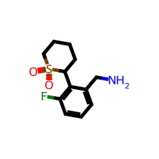 NCc1cccc(F)c1C1CCCCS1(=O)=O